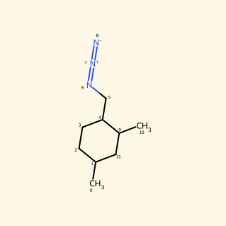 CC1CCC(CN=[N+]=[N-])C(C)C1